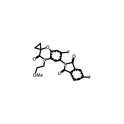 COCCN1C(=O)C2(CC2)Oc2cc(F)c(N3C(=O)c4ccc(F)cc4C3=O)cc21